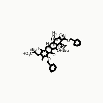 CCCCC(Cc1c(C)c(OCc2ccccc2)c2c(c1F)C[C@H]1C[C@H]3[C@H](N)c4onc(OCc5ccccc5)c4C(=O)[C@@]3(O[Si](C)(C)C(C)(C)C)C(O)=C1C2=O)C(=O)O